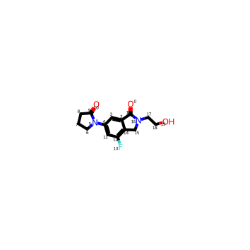 O=C1c2cc(N3CCCC3=O)cc(F)c2CN1CCO